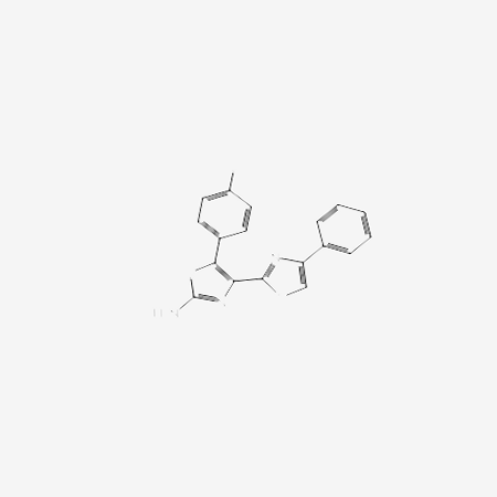 Nc1nc(-c2nc(-c3ccccc3)cs2)c(-c2ccc(Cl)cc2)s1